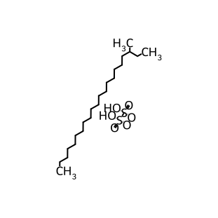 CCCCCCCCCCCCCCCCCCC(C)CC.O=S(=O)(O)S(=O)(=O)O